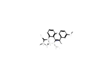 COc1cccc(/C(C)=C(/ON)c2c(C)cccc2-n2nnn(C)c2=O)c1